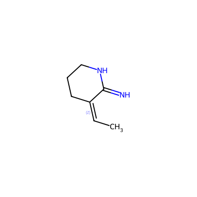 C/C=C1/CCCNC1=N